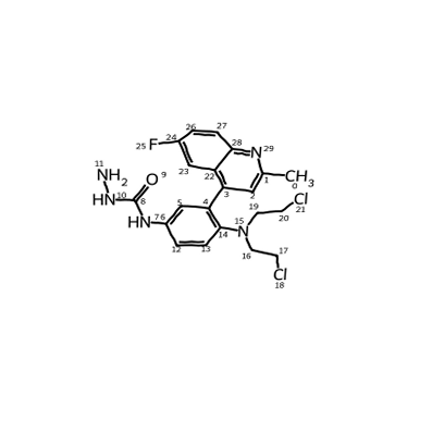 Cc1cc(-c2cc(NC(=O)NN)ccc2N(CCCl)CCCl)c2cc(F)ccc2n1